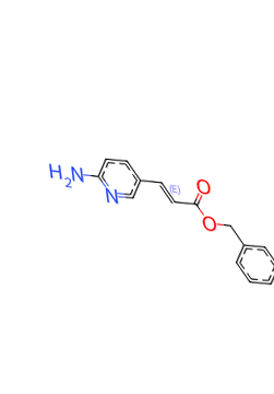 Nc1ccc(/C=C/C(=O)OCc2ccccc2)cn1